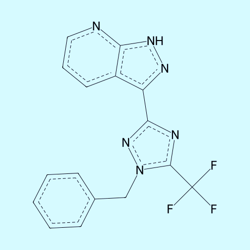 FC(F)(F)c1nc(-c2n[nH]c3ncccc23)nn1Cc1ccccc1